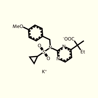 CCC(C)(C(=O)[O-])c1ccnc(N(Cc2ccc(OC)cc2)S(=O)(=O)C2CC2)n1.[K+]